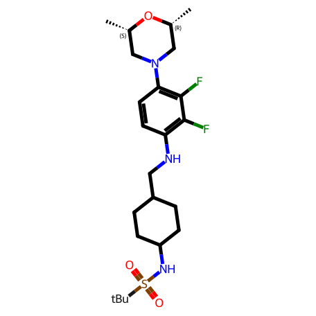 C[C@@H]1CN(c2ccc(NCC3CCC(NS(=O)(=O)C(C)(C)C)CC3)c(F)c2F)C[C@H](C)O1